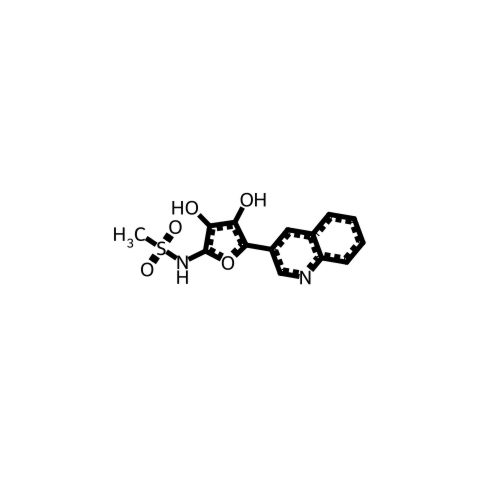 CS(=O)(=O)Nc1oc(-c2cnc3ccccc3c2)c(O)c1O